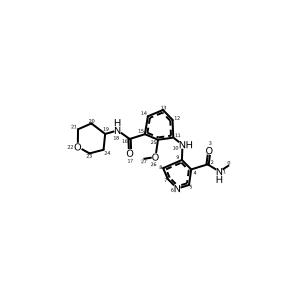 CNC(=O)c1cnccc1Nc1cccc(C(=O)NC2CCOCC2)c1OC